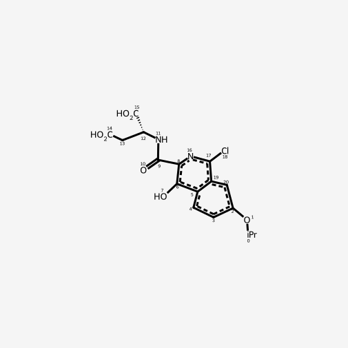 CC(C)Oc1ccc2c(O)c(C(=O)N[C@H](CC(=O)O)C(=O)O)nc(Cl)c2c1